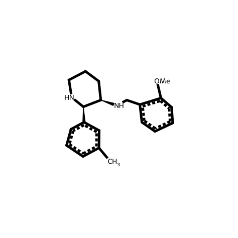 COc1ccccc1CN[C@@H]1CCCN[C@@H]1c1cccc(C)c1